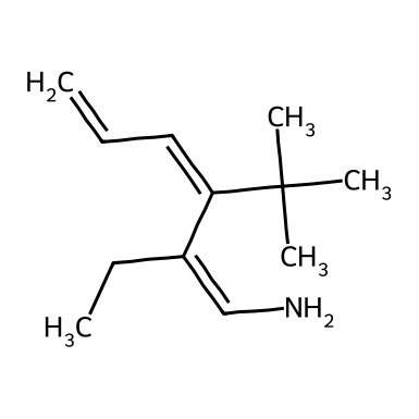 C=C/C=C(\C(=C/N)CC)C(C)(C)C